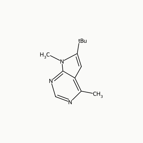 Cc1ncnc2c1cc(C(C)(C)C)n2C